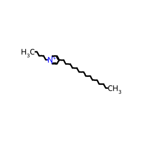 CCCCCCCCCCCCCCCc1cc[n+](CCCCC)cc1